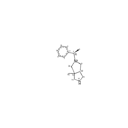 C[C@H](c1ccccc1)N1CC2CNCC2(C)C1